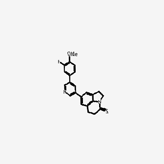 COc1ccc(-c2cncc(-c3cc4c5c(c3)CCN5C(=S)CC4)c2)cc1F